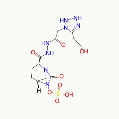 O=C(CN1NNN=C1CCO)NNC(=O)[C@@H]1CC[C@@H]2CN1C(=O)N2OS(=O)(=O)O